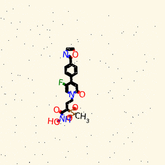 CS(=O)(=O)C(CCn1cc(F)c(-c2ccc(-c3ncco3)cc2)cc1=O)C(=O)NO